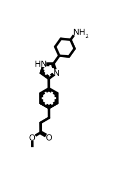 COC(=O)CCc1ccc(-c2c[nH]c(C3CCC(N)CC3)n2)cc1